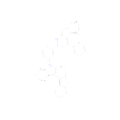 c1ccc(-c2nc(-c3cccc(-n4c5ccccc5c5c6c(ccc54)oc4ccccc46)c3)nc3oc4ccccc4c23)cc1